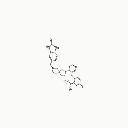 CC(C)N(C(=O)O)c1cc(F)ccc1Oc1cncnc1N1CCC2(CCN(Cc3ccc4[nH]c(=O)[nH]c4c3)C2)C1